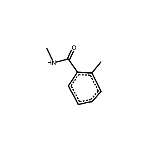 [CH2]c1ccccc1C(=O)NC